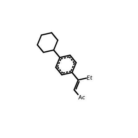 CC/C(=C\C(C)=O)c1ccc(C2CCCCC2)cc1